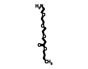 CCCCOC(=O)CCOCCOCCOCCN